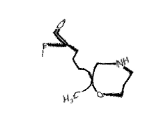 CC1(CCC(=O)F)CNCCO1